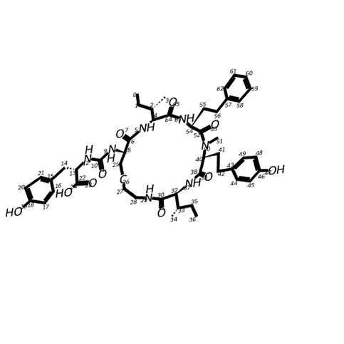 CC[C@H](C)[C@@H]1NC(=O)[C@H](NC(=O)N[C@@H](Cc2ccc(O)cc2)C(=O)O)CCCCNC(=O)[C@H]([C@@H](C)CC)NC(=O)[C@H](CCc2ccc(O)cc2)N(C)C(=O)[C@H](CCc2ccccc2)NC1=O